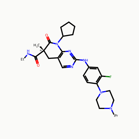 CCNC(=O)[C@@]1(C)Cc2cnc(Nc3ccc(N4CCN(C(C)C)CC4)c(F)c3)nc2N(C2CCCC2)C1=O